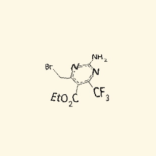 CCOC(=O)c1c(CBr)nc(N)nc1C(F)(F)F